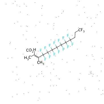 CC(C(=O)O)=C(C)C(F)(F)C(F)(F)C(F)(F)C(F)(F)C(F)(F)C(F)(F)C(F)(F)CCC(F)(F)F